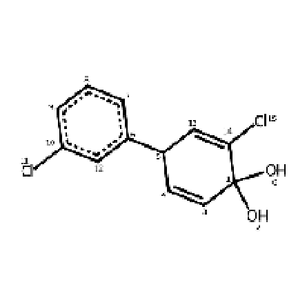 OC1(O)C=CC(c2cccc(Cl)c2)C=C1Cl